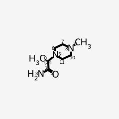 C[C@@H](C(N)=O)N1CCN(C)CC1